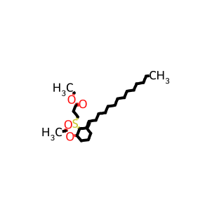 CCCCCCCCCCCCCC=C1CCCC(OC(C)=O)C1SCCC(=O)OCC